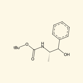 C[C@H](NC(=O)OC(C)(C)C)C(O)c1ccccc1